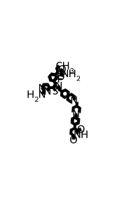 CCC(c1cccc(-c2nc(C3CCC4(CC3)CCN(CC3CCN(c5ccc(C6CCC(=O)NC6=O)cc5)CC3)CC4)sc2-c2ccnc(N)n2)c1F)S(N)(=O)=O